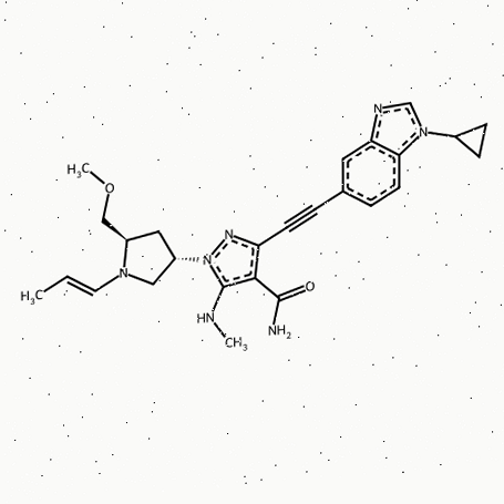 CC=CN1C[C@@H](n2nc(C#Cc3ccc4c(c3)ncn4C3CC3)c(C(N)=O)c2NC)C[C@@H]1COC